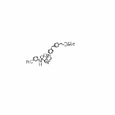 COCCc1ccc(Cc2ccc(N3CCn4ncc(C(=O)Nc5cccc(C#N)c5)c4C3=O)cc2)cc1